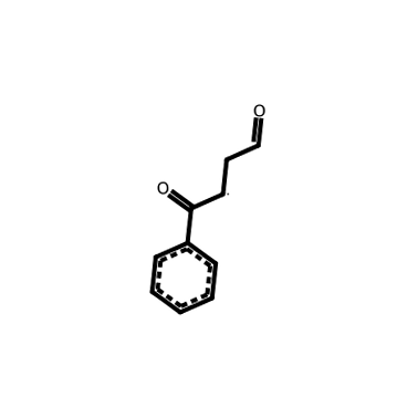 O=CC[CH]C(=O)c1ccccc1